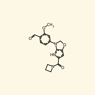 COc1cc(N2COc3cc(C(=O)N4CCC4)[nH]c32)ccc1C=O